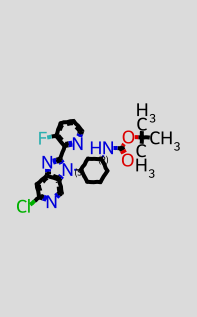 CC(C)(C)OC(=O)N[C@@H]1CCC[C@H](n2c(-c3ncccc3F)nc3cc(Cl)ncc32)C1